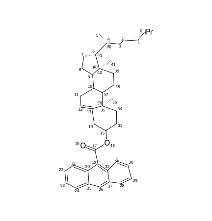 CC(C)CCC[C@@H](C)[C@H]1CCC2C3CC=C4CC(OC(=O)c5c6ccccc6cc6ccccc56)CC[C@]4(C)C3CC[C@@]21C